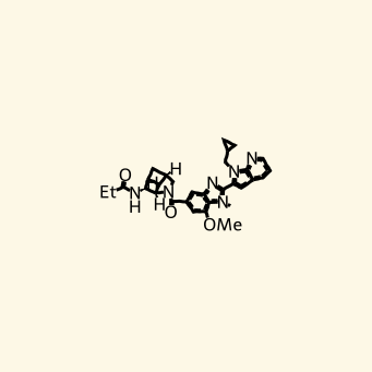 CCC(=O)N[C@H]1C2C[C@@H]3CN(C(=O)c4cc(OC)c5c(c4)nc(-c4cc6cccnc6n4CC4CC4)n5C)[C@H]1[C@H]23